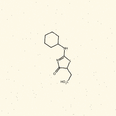 O=C(O)CC1SC(NC2CCCCC2)=NC1=O